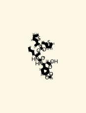 CCCC[C@@H](COC(=O)N(Cc1cccs1)C(C)c1cccs1)NC(=O)N[C@H](CC(=O)O)c1ccc2c(c1)OCO2